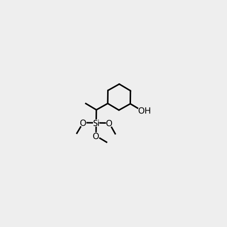 CO[Si](OC)(OC)C(C)C1CCCC(O)C1